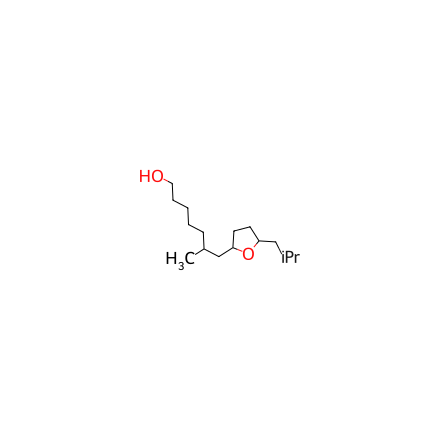 CC(C)CC1CCC(CC(C)CCCCCO)O1